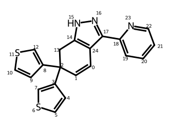 C1=CC(c2ccsc2)(c2ccsc2)Cc2[nH]nc(-c3ccccn3)c21